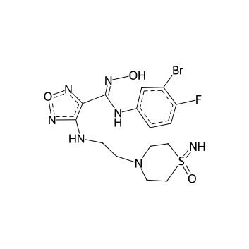 N=S1(=O)CCN(CCNc2nonc2/C(=N/O)Nc2ccc(F)c(Br)c2)CC1